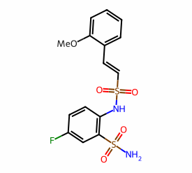 COc1ccccc1C=CS(=O)(=O)Nc1ccc(F)cc1S(N)(=O)=O